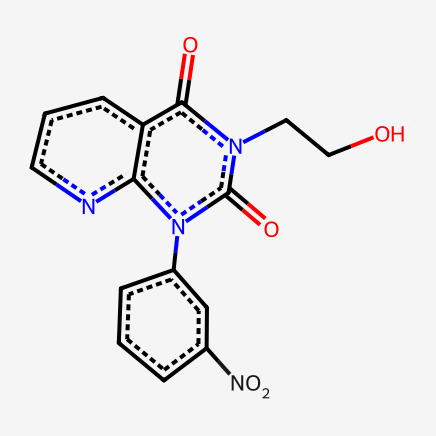 O=c1c2cccnc2n(-c2cccc([N+](=O)[O-])c2)c(=O)n1CCO